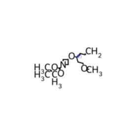 C=C/C=C(\CCOC)OC1CN(C(=O)OC(C)(C)C)C1